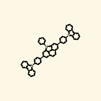 c1ccc(-n2c3cc(-c4ccc(-n5c6ccccc6c6ccccc65)cc4)cc4ccc5cc(-c6ccc(-n7c8ccccc8c8ccccc87)cc6)cc2c5c43)cc1